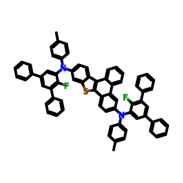 Cc1ccc(N(c2ccc3c(c2)sc2c4ccc(N(c5ccc(C)cc5)c5cc(-c6ccccc6)cc(-c6ccccc6)c5F)cc4c4ccccc4c32)c2cc(-c3ccccc3)cc(-c3ccccc3)c2F)cc1